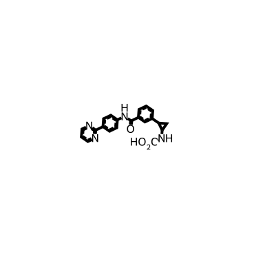 O=C(O)NC1CC1c1cccc(C(=O)Nc2ccc(-c3ncccn3)cc2)c1